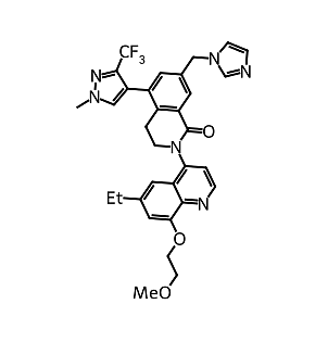 CCc1cc(OCCOC)c2nccc(N3CCc4c(cc(Cn5ccnc5)cc4-c4cn(C)nc4C(F)(F)F)C3=O)c2c1